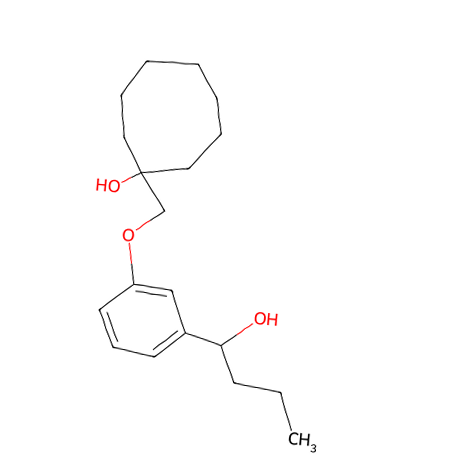 CCCC(O)c1cccc(OCC2(O)CCCCCCC2)c1